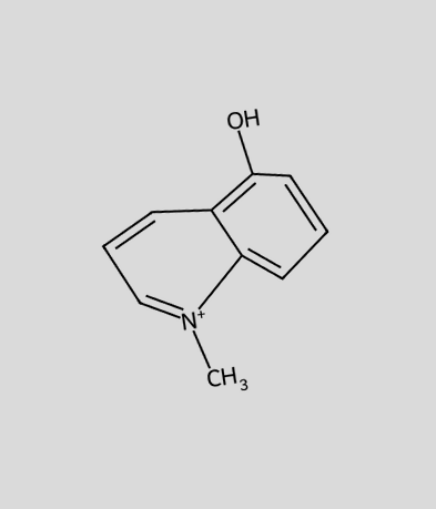 C[n+]1cccc2c(O)cccc21